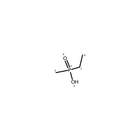 [CH2]CP(C)(=O)O